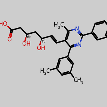 Cc1cc(C)cc(-c2nc(-c3ccccc3)nc(C)c2C=C[C@@H](O)C[C@@H](O)CC(=O)O)c1